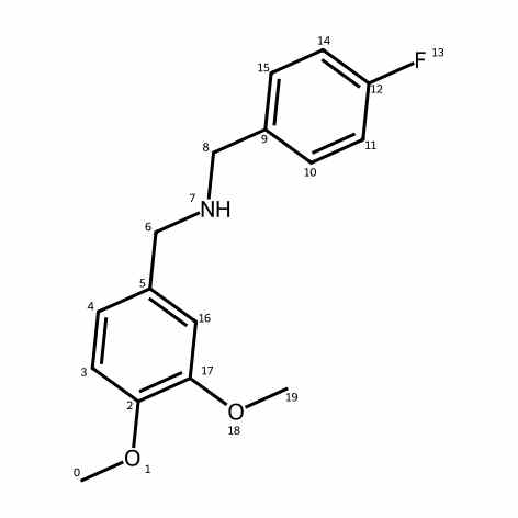 COc1ccc(CNCc2ccc(F)cc2)cc1OC